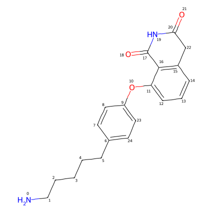 NCCCCCc1ccc(Oc2cccc3c2C(=O)NC(=O)C3)cc1